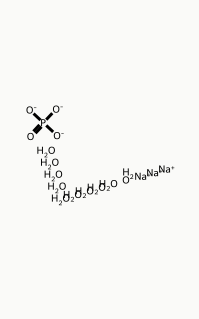 O.O.O.O.O.O.O.O.O.O.O=P([O-])([O-])[O-].[Na+].[Na+].[Na+]